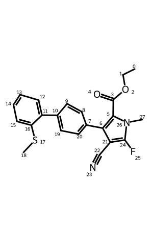 CCOC(=O)c1c(-c2ccc(-c3ccccc3SC)cc2)c(C#N)c(F)n1C